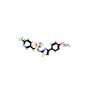 COC1=CCC(c2csc(N=S(C)(=O)Cc3ccc(Cl)nc3)n2)C=C1